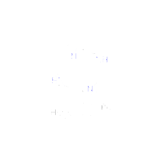 C1=Cc2cc3ccc(cc4nc(cc5ccc(cc1n2)[nH]5)C=C4)[nH]3.O=C(O)c1cc[c]([Pd])cc1